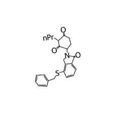 CCCC1C(=O)CCC(N2Cc3c(SCc4ccccc4)cccc3C2=O)C1=O